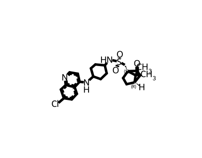 CC1(C)[C@@H]2CC[C@@]1(CS(=O)(=O)NC1CCC(Nc3ccnc4cc(Cl)ccc34)CC1)C(=O)C2